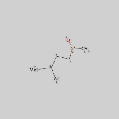 CSC(CC[S+](C)[O-])C(C)=O